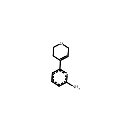 Nc1cccc(C2=CCOCC2)n1